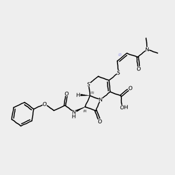 CN(C)C(=O)/C=C\SC1=C(C(=O)O)N2C(=O)[C@@H](NC(=O)COc3ccccc3)[C@@H]2SC1